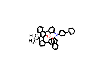 CC1(C)c2cccc(-c3ccccc3)c2-c2c3c(c4ccccc4c21)C1C=CC=C(N(c2ccc(C4=CCCC=C4)cc2)c2ccc4ccccc4c2)C1O3